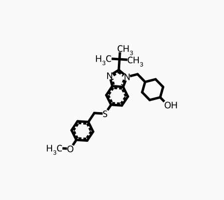 COc1ccc(CSc2ccc3c(c2)nc(C(C)(C)C)n3CC2CCC(O)CC2)cc1